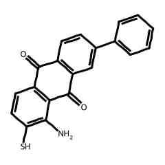 Nc1c(S)ccc2c1C(=O)c1cc(-c3ccccc3)ccc1C2=O